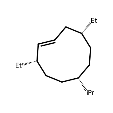 CC[C@@H]1/C=C/C[C@H](CC)CC[C@H](C(C)C)CC1